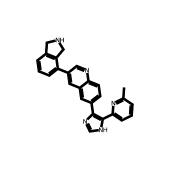 Cc1cccc(-c2[nH]cnc2-c2ccc3ncc(-c4cccc5c4CNC5)cc3c2)n1